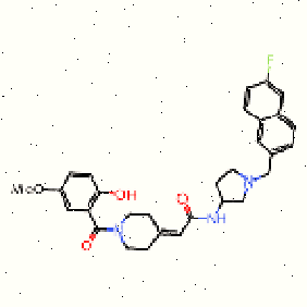 COc1ccc(O)c(C(=O)N2CCC(=CC(=O)NC3CCN(Cc4ccc5cc(F)ccc5c4)C3)CC2)c1